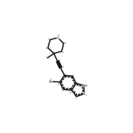 CC1(C#Cc2cc3[nH]ncc3cc2Br)CCOCC1